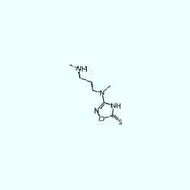 CNCCCN(C)c1noc(=S)[nH]1